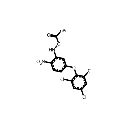 CCCC(=O)ONc1cc(Oc2c(Cl)cc(Cl)cc2Cl)ccc1[N+](=O)[O-]